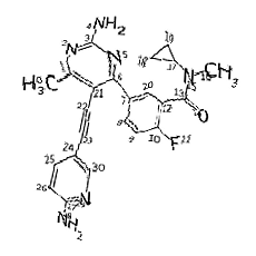 Cc1nc(N)nc(-c2ccc(F)c(C(=O)N(C)C3CC3)c2)c1C#Cc1ccc(N)nc1